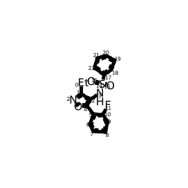 CCc1noc(-c2ccccc2F)c1NS(=O)(=O)c1ccccc1